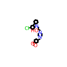 OC(CN1CCN(Cc2ccc3c(c2)OCO3)CC1)Cn1c2ccccc2c2cc(Cl)ccc21